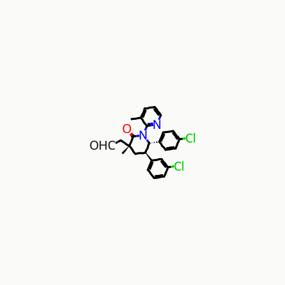 Cc1cccnc1N1C(=O)[C@@](C)(CC=O)C[C@H](c2cccc(Cl)c2)[C@H]1c1ccc(Cl)cc1